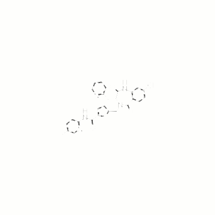 Cc1ccc(NC(=O)c2ccc(CN3C(=O)c4ccc(Cl)cc4NC(=O)[C@H]3Cc3ccccn3)s2)nc1